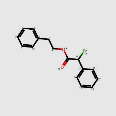 O=C(OCCc1ccccc1)C(Br)c1ccccc1